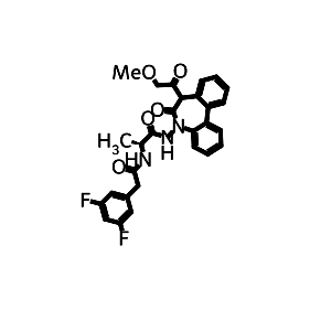 COCC(=O)C1C(=O)N(NC(=O)[C@H](C)NC(=O)Cc2cc(F)cc(F)c2)c2ccccc2-c2ccccc21